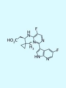 CC1([C@@H](CC(=O)O)Nc2nc(-c3c[nH]c4ncc(F)cc34)ncc2F)CC1